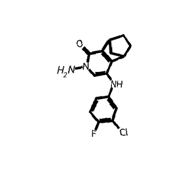 Nn1cc(Nc2ccc(F)c(Cl)c2)c2c(c1=O)C1CCC2C1